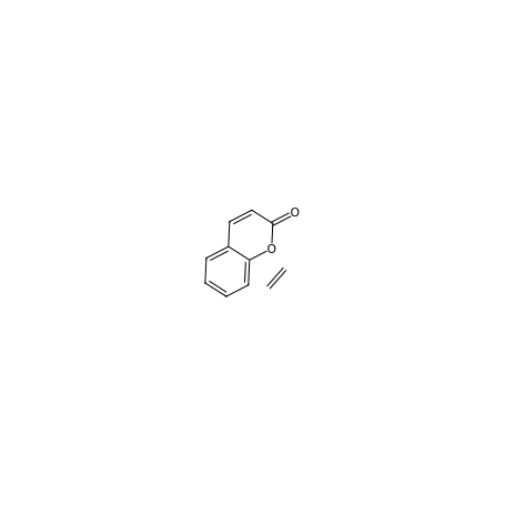 C=C.O=c1ccc2ccccc2o1